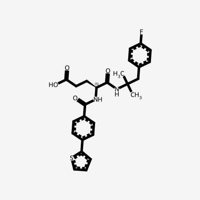 CC(C)(Cc1ccc(F)cc1)NC(=O)[C@H](CCC(=O)O)NC(=O)c1ccc(-c2cccs2)cc1